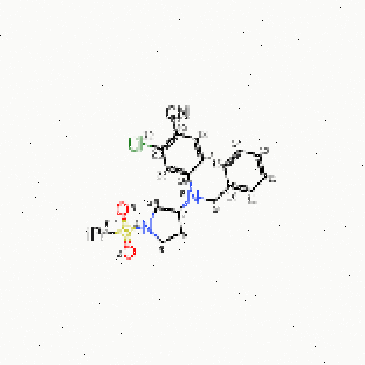 CC(C)S(=O)(=O)N1CC[C@H](N(Cc2ccccc2)c2ccc(C#N)c(Cl)c2)C1